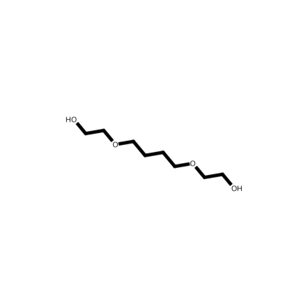 OCCOCCCCOCCO